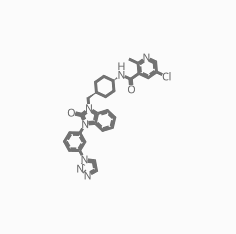 Cc1ncc(Cl)cc1C(=O)N[C@H]1CC[C@H](Cn2c(=O)n(-c3cccc(-n4ccnn4)c3)c3ccccc32)CC1